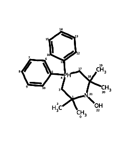 CC1(C)C[PH](c2ccccc2)(c2ccccc2)CC(C)(C)N1O